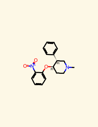 CN1CC[C@@H](Oc2ccccc2[N+](=O)[O-])[C@H](c2ccccc2)C1